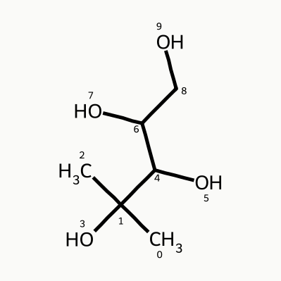 CC(C)(O)C(O)C(O)CO